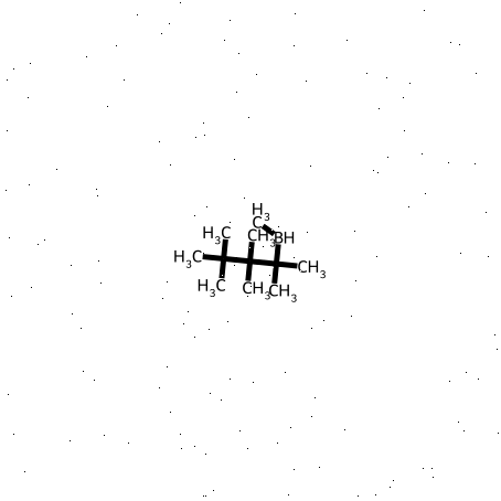 CBC(C)(C)C(C)(C)C(C)(C)C